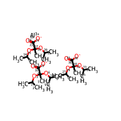 CC(C)OC(C)(OC(C)C)C(=O)[O-].CC(C)OC(C)(OC(C)C)C(=O)[O-].CC(C)OC(C)(OC(C)C)C(=O)[O-].[Al+3]